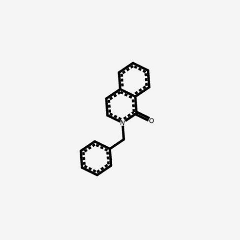 O=c1c2ccccc2ccn1Cc1ccccc1